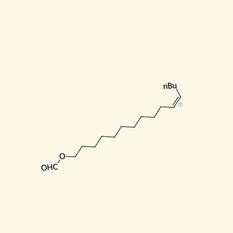 CCCC/C=C\CCCCCCCCCCOC=O